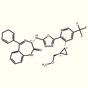 COC[C@@H]1C[C@H]1c1cc(C(F)(F)F)cnc1-c1nnc(N[C@H]2N=C(C3=CCCC=C3)c3ccccc3NC2=O)o1